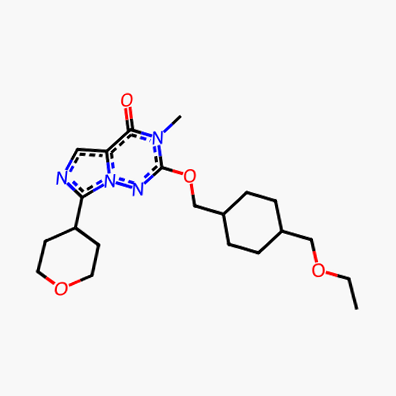 CCOCC1CCC(COc2nn3c(C4CCOCC4)ncc3c(=O)n2C)CC1